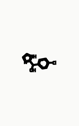 OC(c1ccc(Cl)cc1)c1ncc[nH]1